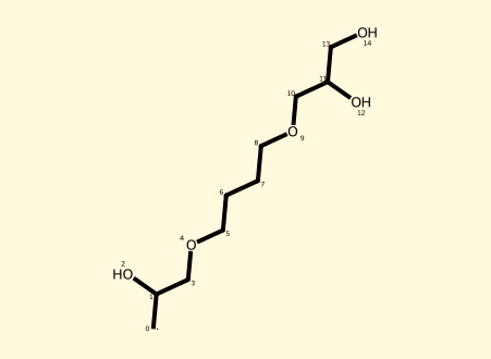 [CH2]C(O)COCCCCOCC(O)CO